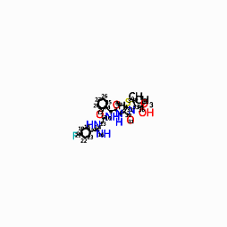 CC1(C)S[C@@H]2C(NC(=O)C(NC(=O)CNC(=N)c3ccc(F)cc3)c3ccccc3)C(=O)N2[C@H]1C(=O)O